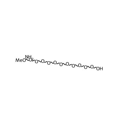 COC(N)COCCOCCOCCOCCOCCOCCOCCOCCOCCOCCOCCO